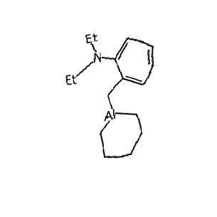 CCN(CC)c1ccccc1[CH2][Al]1[CH2]CCC[CH2]1